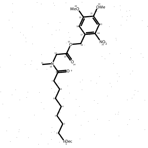 CCCCCCCCCCCCCCCCCC(=O)N(C)CC(=O)OCc1cc(OC)c(OC)cc1[N+](=O)[O-]